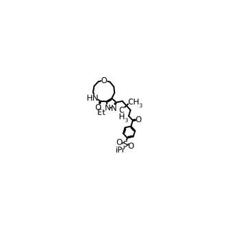 CCn1nc(CC(C)(C)CCC(=O)c2ccc(S(=O)(=O)C(C)C)cc2)c2c1C(=O)NCCCOCCC2